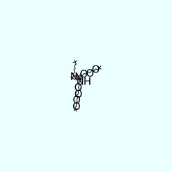 CC(C)(C)CCCCCCN(C(C)(C)C)C(C)(C)N(CCOCCOCCOCC(C)(C)C)C(C)(C)NCCOCCOCCOCCOCC(C)(C)C